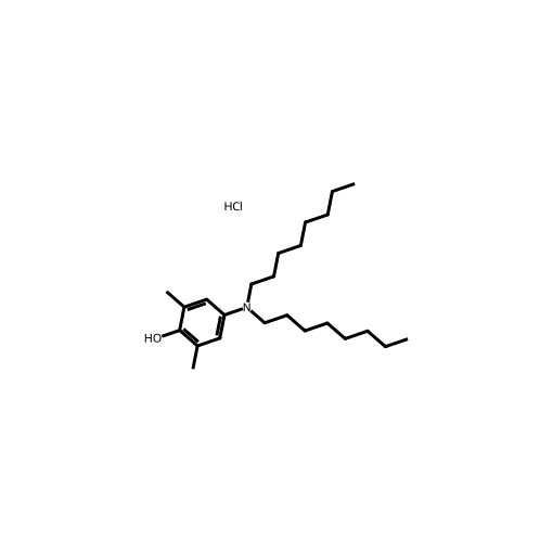 CCCCCCCCN(CCCCCCCC)c1cc(C)c(O)c(C)c1.Cl